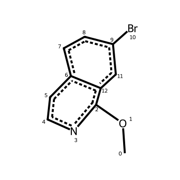 COc1nccc2ccc(Br)cc12